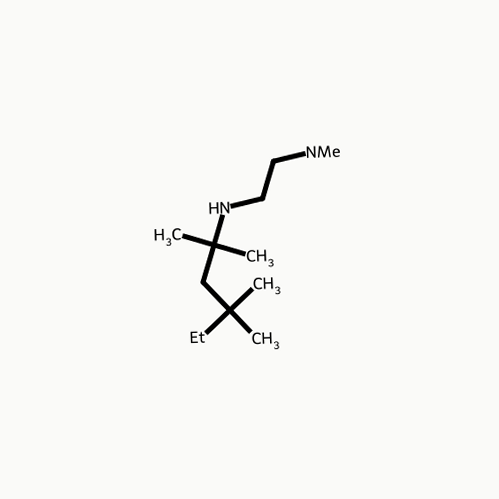 CCC(C)(C)CC(C)(C)NCCNC